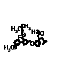 COc1ccc(F)c(-c2ccc(COc3cccc([C@@H](CC(=O)O)CC4CC4)c3)cc2COCC=C(C)C)c1